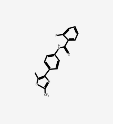 Cc1oc(C(F)(F)F)nc1-c1ccc(NC(=O)c2ccccc2F)cc1